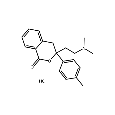 Cc1ccc(C2(CCN(C)C)Cc3ccccc3C(=O)O2)cc1.Cl